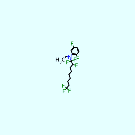 CCN(c1cc(F)ccc1F)C(F)(F)C(F)CCCCCCC(F)(F)F